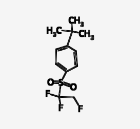 CC(C)(C)c1ccc(S(=O)(=O)C(F)(F)CF)cc1